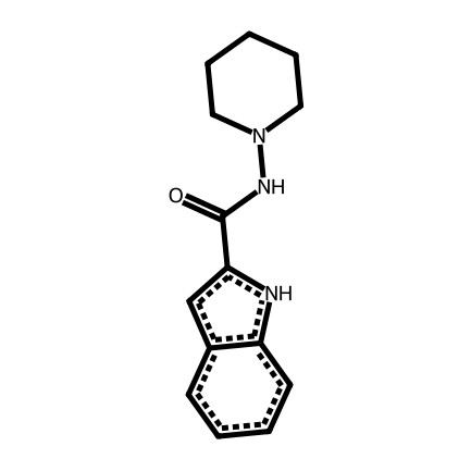 O=C(NN1CCCCC1)c1cc2ccccc2[nH]1